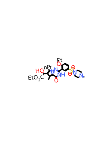 CCCc1c(C(O)C(=O)OCC)c(C)c2c(=O)[nH]c(-c3cc(S(=O)(=O)N4CCN(C)CC4)ccc3OCC)nn12